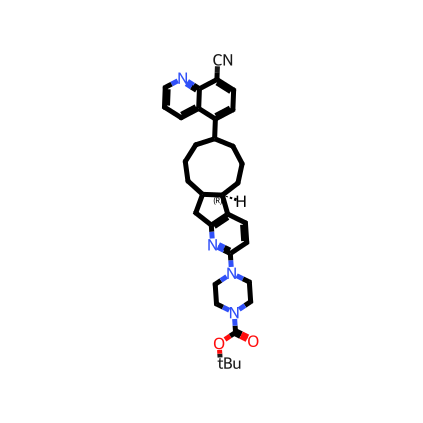 CC(C)(C)OC(=O)N1CCN(c2ccc3c(n2)CC2CCCC(c4ccc(C#N)c5ncccc45)CCC[C@@H]32)CC1